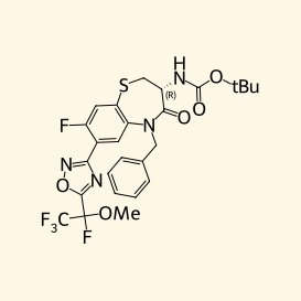 COC(F)(c1nc(-c2cc3c(cc2F)SC[C@H](NC(=O)OC(C)(C)C)C(=O)N3Cc2ccccc2)no1)C(F)(F)F